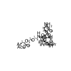 CC(=O)CC(OCCOCCNC(=O)O[C@@H]1[C@@H]2O[Si](C(C)C)(C(C)C)O[Si](C(C)C)(C(C)C)OC[C@H]2O[C@H]1n1ccc(N)nc1=O)C(=O)OC(C)=O